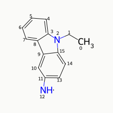 CCn1c2ccccc2c2cc([NH])ccc21